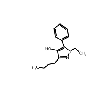 CCCCc1nn(CC)c(-c2ccccc2)c1O